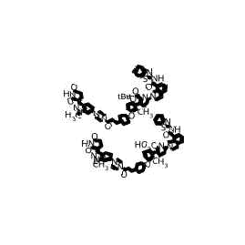 Cc1c(OC2CCC(CCC(=O)N3CCN(c4ccc5c(C6CCC(=O)NC6=O)nn(C)c5c4)CC3)CC2)cccc1-c1ccc(N2CCc3cccc(C(=O)Nc4nc5ccccc5s4)c3C2)nc1C(=O)O.Cc1c(OC2CCC(CCC(=O)N3CCN(c4ccc5c(C6CCC(=O)NC6=O)nn(C)c5c4)CC3)CC2)cccc1-c1ccc(N2CCc3cccc(C(=O)Nc4nc5ccccc5s4)c3C2)nc1C(=O)OC(C)(C)C